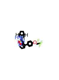 Cc1cc(N2C[C@H]3CC[C@@H](C2)[C@@H]3Nc2nc3n(n2)CCCC3c2ccc(OCC(F)(F)F)cc2)sn1